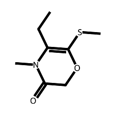 CCC1=C(SC)OCC(=O)N1C